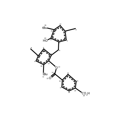 Cc1cc(Cc2cc(C)cc(C(C)(C)C)c2OC(=O)c2ccc(C(=O)O)cc2)c(O)c(C(C)(C)C)c1